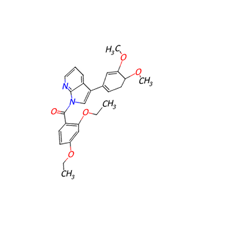 CCOc1ccc(C(=O)n2cc(C3=CCC(OC)C(OC)=C3)c3cccnc32)c(OCC)c1